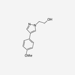 COc1ccc(-c2cnn(CCO)c2)cc1